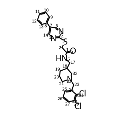 O=C(CSc1ncc(-c2ccccc2)cn1)NCC1CCCN(Cc2cccc(Cl)c2Cl)C1